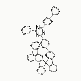 c1ccc(-c2ccc(-c3nc(-c4ccccc4)nc(-c4ccc(-c5ccc6c(c5)C5(c7ccccc7-6)c6ccccc6-c6c5cc5c7c(cccc67)-c6ccccc6-5)cc4)n3)cc2)cc1